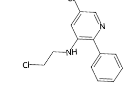 ClCCNc1cc(Cl)cnc1-c1ccccc1